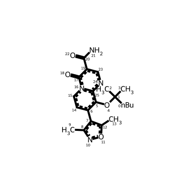 CCCCC(C)(C)Oc1c(-c2c(C)noc2C)ccn2c(=O)c(C(N)=O)cnc12